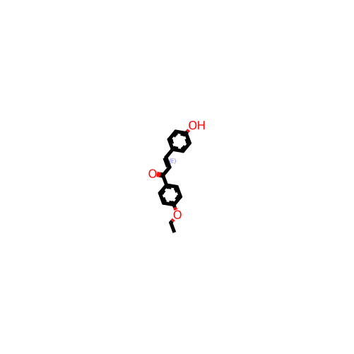 CCOc1ccc(C(=O)/C=C/c2ccc(O)cc2)cc1